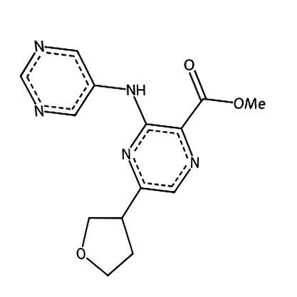 COC(=O)c1ncc(C2CCOC2)nc1Nc1cncnc1